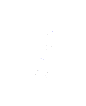 Cc1cc(N(C)c2ccnc(-c3ccccc3)n2)nc(NC(C)Cc2cccc(CNC(=O)C(C)N)c2)n1